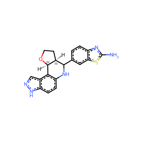 Nc1nc2ccc(C3Nc4ccc5[nH]ncc5c4[C@H]4OCC[C@@H]34)cc2s1